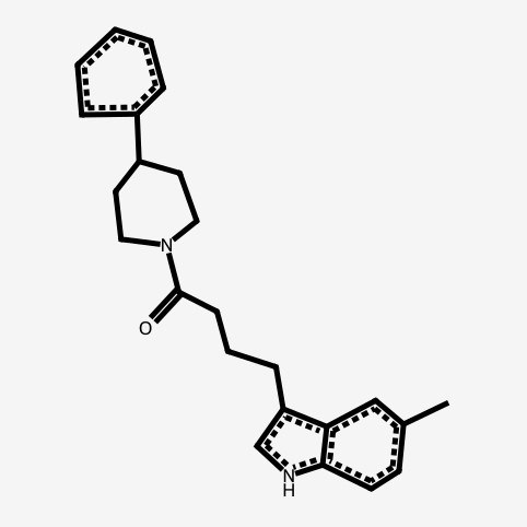 Cc1ccc2[nH]cc(CCCC(=O)N3CCC(c4ccccc4)CC3)c2c1